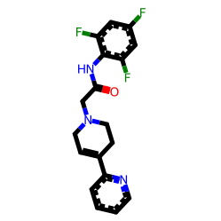 O=C(CN1CC=C(c2ccccn2)CC1)Nc1c(F)cc(F)cc1F